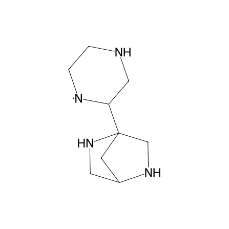 C1CNCC(C23CNC(CN2)C3)[N]1